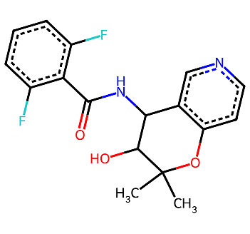 CC1(C)Oc2ccncc2C(NC(=O)c2c(F)cccc2F)C1O